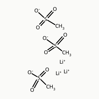 CS(=O)(=O)[O-].CS(=O)(=O)[O-].CS(=O)(=O)[O-].[Li+].[Li+].[Li+]